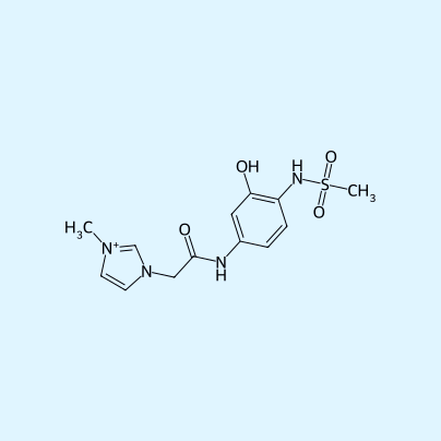 C[n+]1ccn(CC(=O)Nc2ccc(NS(C)(=O)=O)c(O)c2)c1